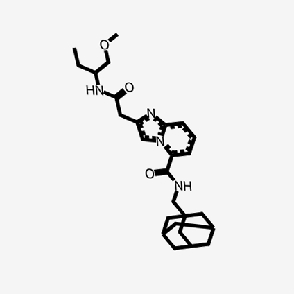 CCC(COC)NC(=O)Cc1cn2c(C(=O)NCC34CC5CC(CC(C5)C3)C4)cccc2n1